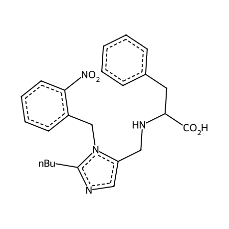 CCCCc1ncc(CNC(Cc2ccccc2)C(=O)O)n1Cc1ccccc1[N+](=O)[O-]